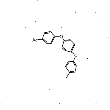 CC(=O)c1ccc(Oc2ccc(Oc3ccc(C)cc3)cc2)cc1